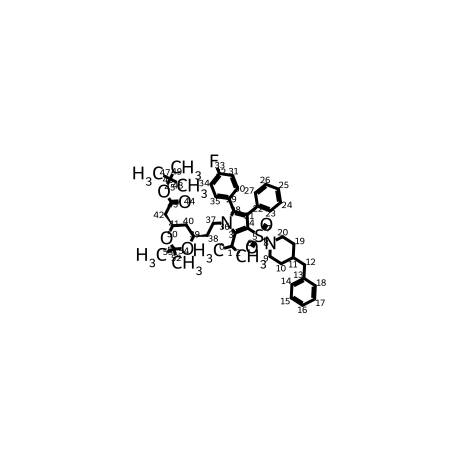 CC(C)c1c(S(=O)(=O)N2CCC(Cc3ccccc3)CC2)c(-c2ccccc2)c(-c2ccc(F)cc2)n1CC[C@@H]1C[C@H](CC(=O)OC(C)(C)C)OC(C)(C)O1